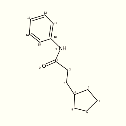 O=C(CCC1CCCC1)Nc1ccccc1